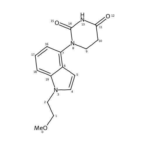 COCCn1ccc2c(N3CCC(=O)NC3=O)cccc21